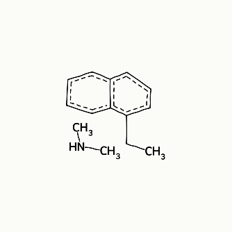 CCc1cccc2ccccc12.CNC